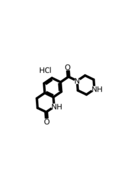 Cl.O=C1CCc2ccc(C(=O)N3CCNCC3)cc2N1